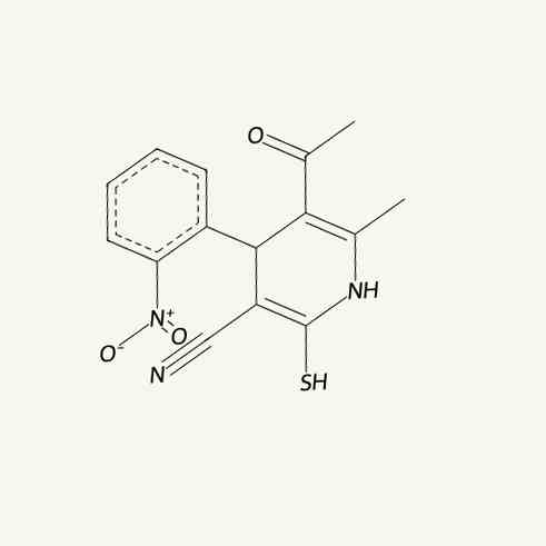 CC(=O)C1=C(C)NC(S)=C(C#N)C1c1ccccc1[N+](=O)[O-]